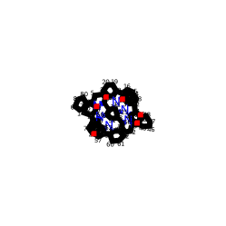 c1ccc(-c2cccc(-c3c(-n4c5ccccc5c5ccccc54)c(-n4c5ccccc5c5ccccc54)c(-c4cccc(-c5ccccc5)n4)c(-n4c5ccccc5c5ccccc54)c3-n3c4ccccc4c4ccccc43)n2)cc1